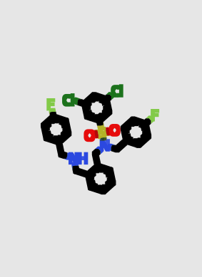 O=S(=O)(c1cc(Cl)cc(Cl)c1)N(Cc1ccc(F)cc1)Cc1ccccc1CNCc1ccc(F)cc1